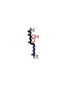 CC/C(C)=C/C=C/C=C/[C@@H](C)C[C@@H](C)C(=O)C[C@H](O)/C(C)=C/[C@@H](C)C(C)=O